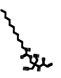 C=CC(=O)NC(CO)(CO)COC(=O)NCCCCCCCCCCC